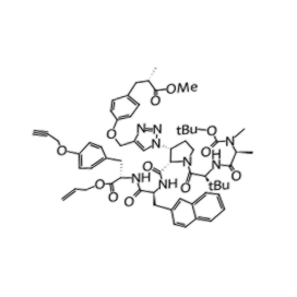 C#CCOc1ccc(C[C@H](NC(=O)[C@H](Cc2ccc3ccccc3c2)NC(=O)[C@@H]2[C@H](n3cc(COc4ccc(C[C@H](C)C(=O)OC)cc4)nn3)CCN2C(=O)[C@@H](NC(=O)[C@H](C)N(C)C(=O)OC(C)(C)C)C(C)(C)C)C(=O)OCC=C)cc1